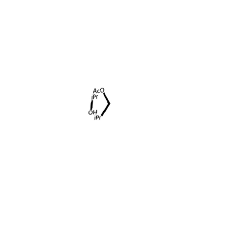 CC(=O)OCC(C)C.CC(C)O